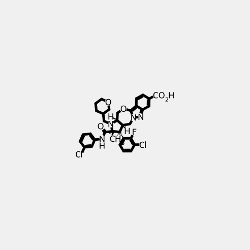 C[C@]1(C(=O)Nc2cccc(Cl)c2)[C@@H](c2cccc(Cl)c2F)[C@@H]2Cn3nc4cc(C(=O)O)ccc4c3OC[C@@H]2N1CC1CCCOC1